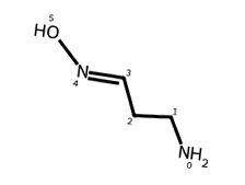 NCCC=NO